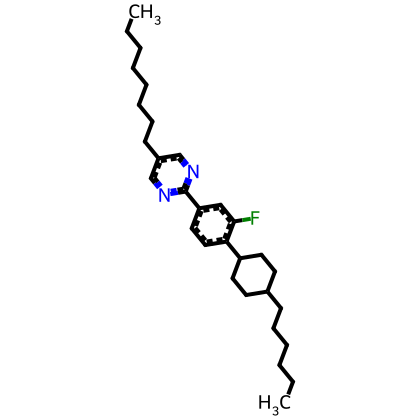 CCCCCCCCc1cnc(-c2ccc(C3CCC(CCCCCC)CC3)c(F)c2)nc1